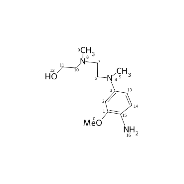 COc1cc(N(C)CCN(C)CCO)ccc1N